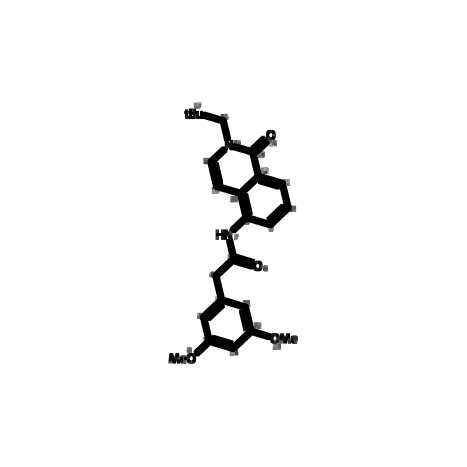 COc1cc(CC(=O)Nc2cccc3c(=O)n(CC(C)(C)C)ccc23)cc(OC)c1